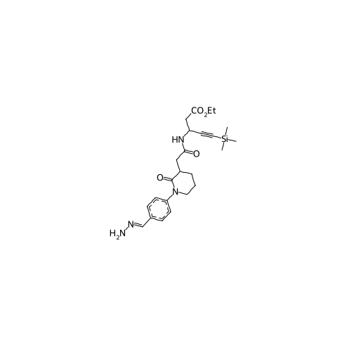 CCOC(=O)CC(C#C[Si](C)(C)C)NC(=O)CC1CCCN(c2ccc(C=NN)cc2)C1=O